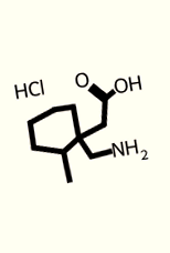 CC1CCCCC1(CN)CC(=O)O.Cl